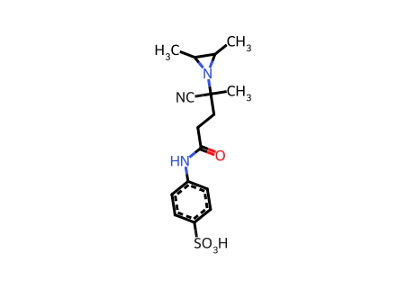 CC1C(C)N1C(C)(C#N)CCC(=O)Nc1ccc(S(=O)(=O)O)cc1